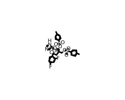 Cc1ccc(S(=O)(=O)OCC(CC(O)(Cc2nc[nH]n2)c2ccc(F)cc2F)[C@@H](O)OS(=O)(=O)c2ccc(C)cc2)cc1